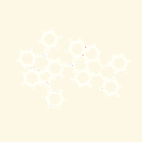 c1ccc(Cc2ccccc2-c2c(Cc3ccccc3)cccc2N(c2ccccc2)c2cc(N(c3ccccc3)c3ccccc3)c3c4ccccc4n(-c4ccccc4)c3c2)cc1